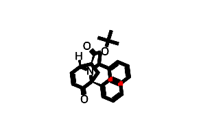 CC(c1ccccc1)N1[C@@H]2C=CC(=O)[C@@]1(c1ccccc1)C[C@@H]2C(=O)OC(C)(C)C